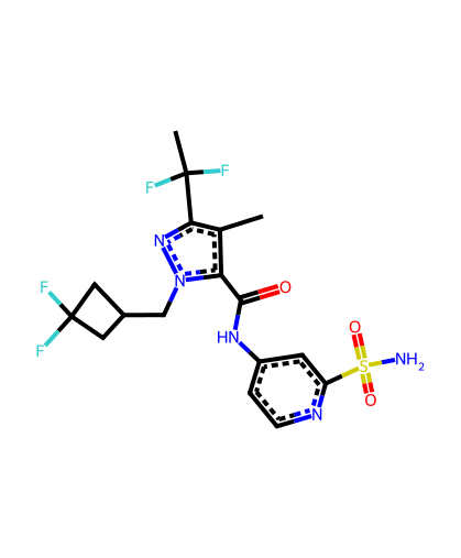 Cc1c(C(C)(F)F)nn(CC2CC(F)(F)C2)c1C(=O)Nc1ccnc(S(N)(=O)=O)c1